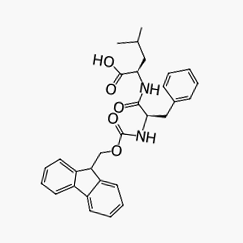 CC(C)C[C@@H](NC(=O)[C@@H](Cc1ccccc1)NC(=O)OCC1c2ccccc2-c2ccccc21)C(=O)O